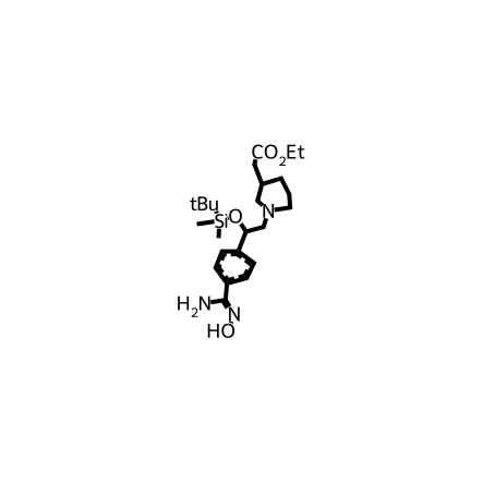 CCOC(=O)CC1CCCN(CC(O[Si](C)(C)C(C)(C)C)c2ccc(C(N)=NO)cc2)C1